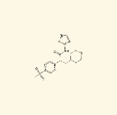 CS(=O)(=O)c1ccc(C(CC2CCOCC2)C(=O)Nc2nncs2)cc1